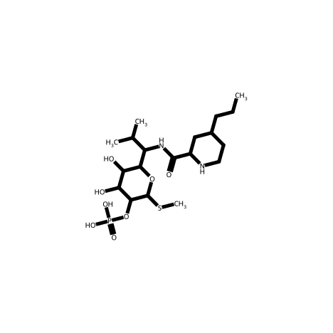 CCCC1CCNC(C(=O)NC(C(C)C)C2OC(SC)C(OP(=O)(O)O)C(O)C2O)C1